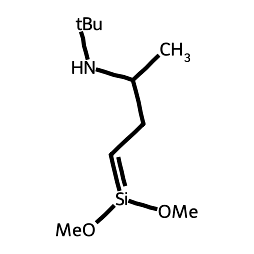 CO[Si](=CCC(C)NC(C)(C)C)OC